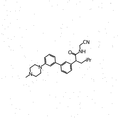 CC(C)CC(C(=O)NCC#N)c1cccc(-c2cccc(N3CCN(C)CC3)c2)c1